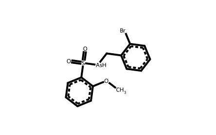 COc1ccccc1S(=O)(=O)[AsH]Cc1ccccc1Br